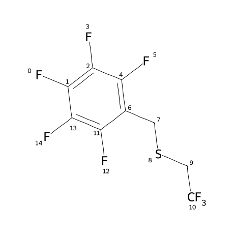 Fc1c(F)c(F)c(CSCC(F)(F)F)c(F)c1F